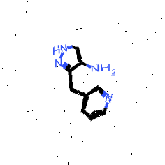 Nc1c[nH]nc1Cc1cccnc1